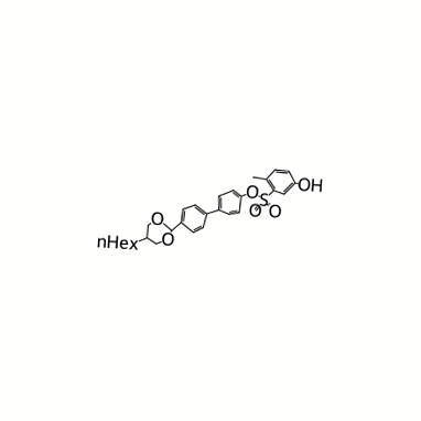 CCCCCCC1COC(c2ccc(-c3ccc(OS(=O)(=O)c4cc(O)ccc4C)cc3)cc2)OC1